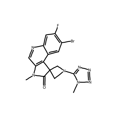 CN1C(=O)C2(CN(c3nnnn3C)C2)c2c1cnc1cc(F)c(Br)cc21